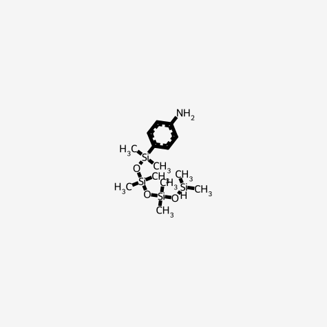 C[SiH](C)O[Si](C)(C)O[Si](C)(C)O[Si](C)(C)c1ccc(N)cc1